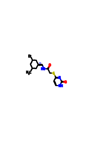 CCC1C/C(=C/NC(=O)CSc2cc[nH]c(=O)n2)CC(C)C1